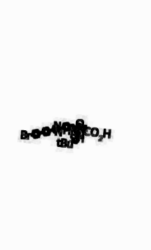 C[C@@H](NC(=O)[C@H](Cc1ccc(-c2ncc(-c3ccc(-c4ccc(Br)cc4)cc3)cn2)cc1)NC(=O)c1ccc(C(C)(C)C)s1)C(=O)O